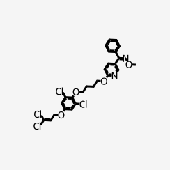 CON=C(c1ccccc1)c1ccc(OCCCCOc2c(Cl)cc(OCC=C(Cl)Cl)cc2Cl)nc1